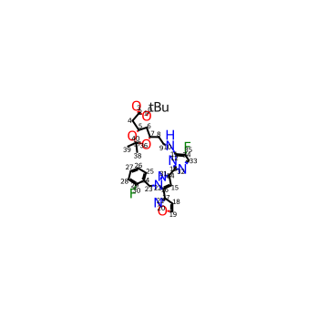 CC(C)(C)OC(=O)CC1CC(CCNc2nc(-c3cc(-c4ccon4)n(Cc4ccccc4F)n3)ncc2F)OC(C)(C)O1